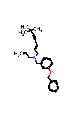 C=CCN(CC=CC#CC(C)(C)C)Cc1cccc(OCc2ccccc2)c1